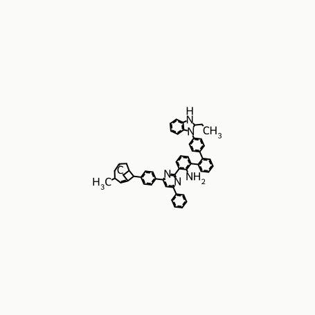 CCC1Nc2ccccc2N1c1ccc(-c2ccccc2-c2cccc(-c3nc(-c4ccccc4)cc(-c4ccc(C5C6=CC(C)CC7CC6C5C7)cc4)n3)c2N)cc1